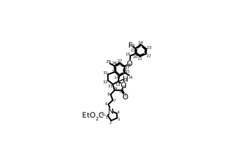 CCOC(=O)[C@H]1CCCN1CCCC1C(=O)O[C@H]2c3c(C)c(OCc4ccccc4F)cc(C)c3CCC12